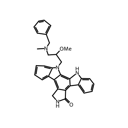 COC(CN(C)Cc1ccccc1)Cn1c2ccccc2c2c3c(c4c5ccccc5[nH]c4c21)C(=O)NC3